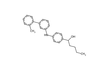 CCCCC(O)c1ccc(Nc2cccc(-c3ccccc3C)c2)cc1